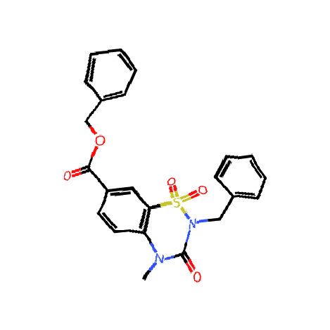 CN1C(=O)N(Cc2ccccc2)S(=O)(=O)c2cc(C(=O)OCc3ccccc3)ccc21